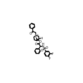 O=C(C[N+]12CCC(CC1)[C@@H](OC(=O)C(NS(=O)(=O)c1ccc(F)c(F)c1)c1ccccc1)C2)c1ccccc1